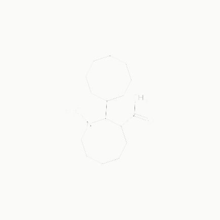 CC(=O)C1CCCCCN(C)C1C1CCCCCCC1